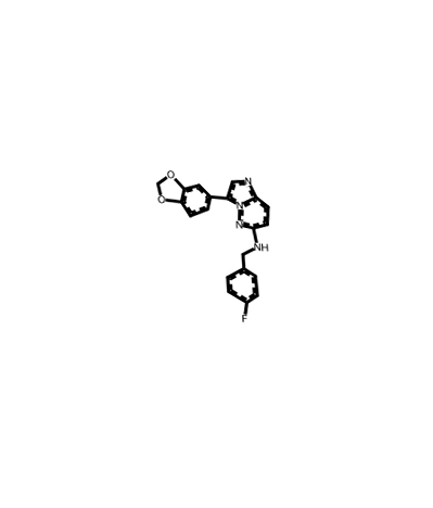 Fc1ccc(CNc2ccc3ncc(-c4ccc5c(c4)OCO5)n3n2)cc1